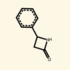 O=C1CC(c2ccccc2)N1